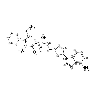 CCON(c1ccccc1)[C@@H](C)C(=O)OP(=O)(O)OC[C@H]1C=C[C@@H](n2cnc3c(N)ncnc32)C1